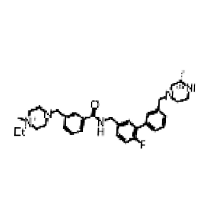 CC[N+]1(C)CCN(Cc2cccc(C(=O)NCc3ccc(F)c(-c4cccc(CN5CCN[C@@H](C)C5)c4)c3)c2)CC1